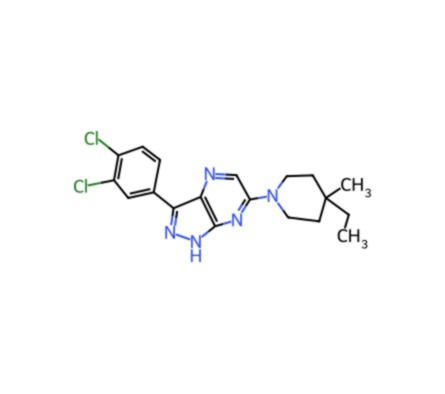 CCC1(C)CCN(c2cnc3c(-c4ccc(Cl)c(Cl)c4)n[nH]c3n2)CC1